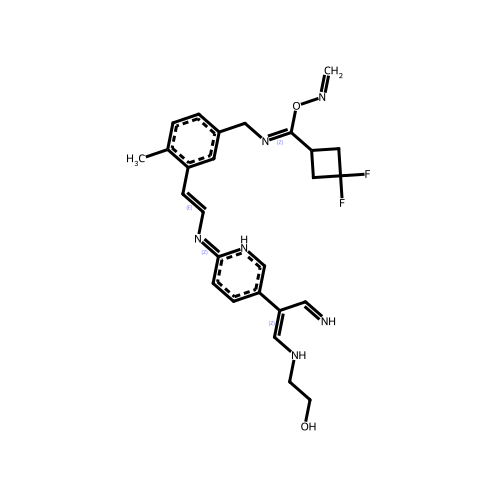 C=NO/C(=N\Cc1ccc(C)c(/C=C/N=c2/ccc(/C(C=N)=C/NCCO)c[nH]2)c1)C1CC(F)(F)C1